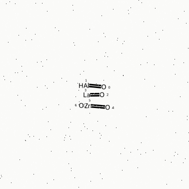 [O]=[AlH].[O]=[La].[O]=[Zr]=[O]